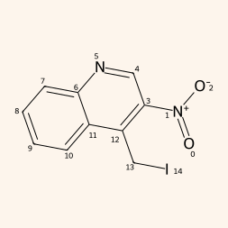 O=[N+]([O-])c1cnc2ccccc2c1CI